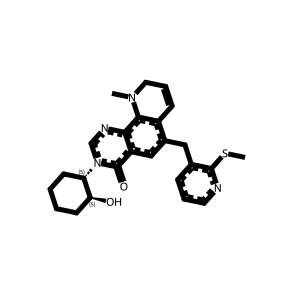 CSc1ncccc1Cc1cc2c(=O)n([C@H]3CCCC[C@@H]3O)cnc2c2c1C=CCN2C